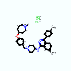 COc1ccc(-c2nnc(NC3CCN(Cc4ccc(OC5CCCN(C)CC5)cc4)CC3)c3cc(OC)ccc23)cc1.Cl.Cl.Cl